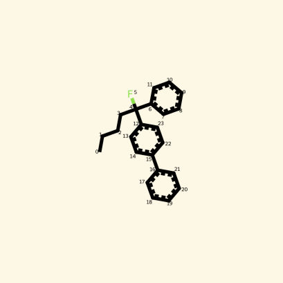 CCCCC(F)(c1ccccc1)c1ccc(-c2ccccc2)cc1